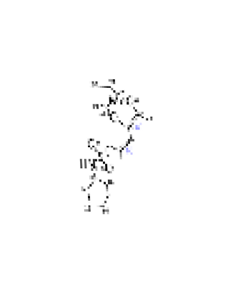 CO/C(C)=C(/C=C\CS(=O)(=O)NC1CCCCC1)OC1CCCC1